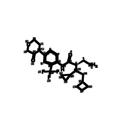 NC[C@@H](C(=O)Nc1ccc(N2CCOCC2=O)cc1C(F)(F)F)N(CC1CCC1)C1CC1